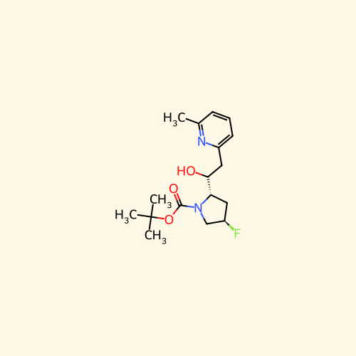 Cc1cccc(CC(O)[C@@H]2C[C@@H](F)CN2C(=O)OC(C)(C)C)n1